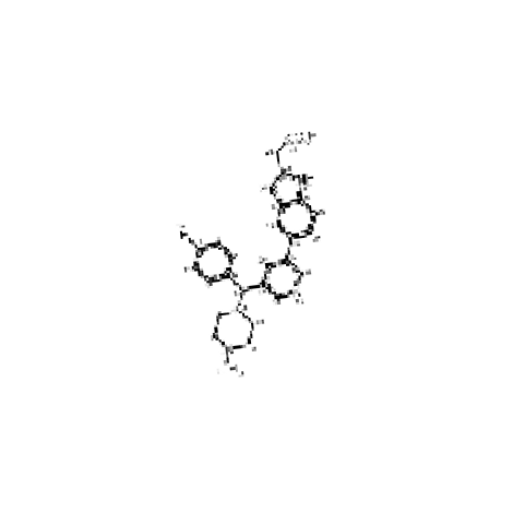 CN1CCN(C(c2ccc(F)cc2)c2cncc(-c3ccc4[nH]c(CC(=O)O)cc4c3)c2)CC1